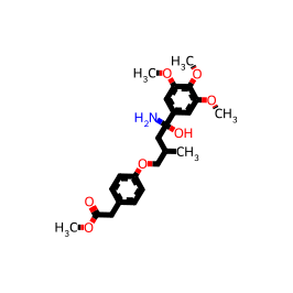 COC(=O)Cc1ccc(OCC(C)CC(N)(O)c2cc(OC)c(OC)c(OC)c2)cc1